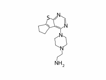 NCCN1CCN(c2ncnc3sc4c(c23)CCC4)CC1